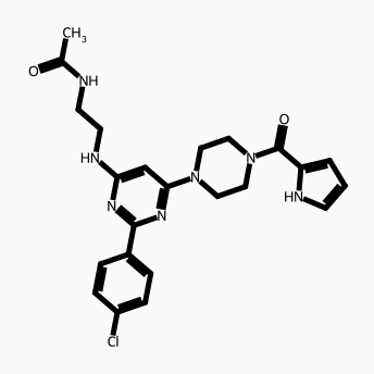 CC(=O)NCCNc1cc(N2CCN(C(=O)c3ccc[nH]3)CC2)nc(-c2ccc(Cl)cc2)n1